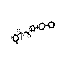 Cc1cncc(C(=O)NCC(=O)N2CCC(N3CCC(c4ccccc4)CC3)C2)c1